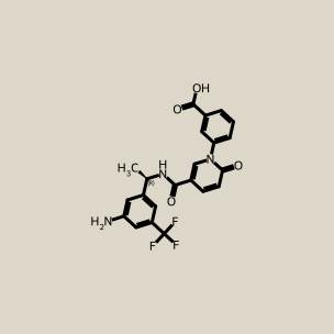 C[C@@H](NC(=O)c1ccc(=O)n(-c2cccc(C(=O)O)c2)c1)c1cc(N)cc(C(F)(F)F)c1